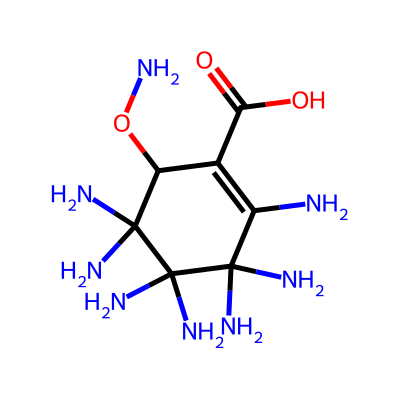 NOC1C(C(=O)O)=C(N)C(N)(N)C(N)(N)C1(N)N